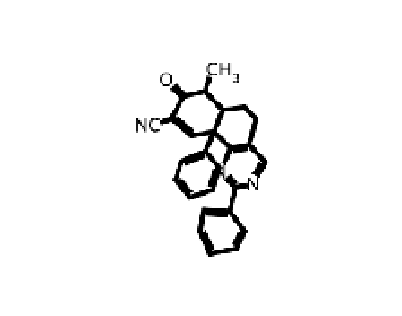 CC1C(=O)C(C#N)=CC2(c3ccccc3)c3nc(-c4ccccc4)ncc3CCC12